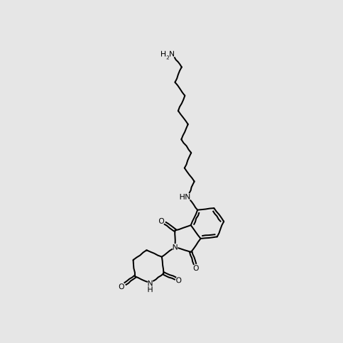 NCCCCCCCCCNc1cccc2c1C(=O)N(C1CCC(=O)NC1=O)C2=O